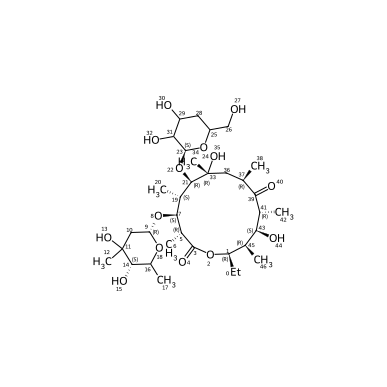 CC[C@H]1OC(=O)[C@H](C)[C@@H](O[C@H]2CC(C)(O)[C@@H](O)C(C)O2)[C@H](C)[C@@H](O[C@@H]2OC(CO)CC(O)C2O)[C@](C)(O)C[C@@H](C)C(=O)[C@H](C)[C@@H](O)[C@H]1C